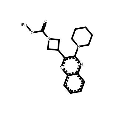 CC(C)(C)OC(=O)N1CC(c2nc3ccccc3nc2N2CCCCC2)C1